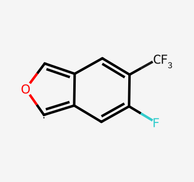 Fc1cc2[c]occ2cc1C(F)(F)F